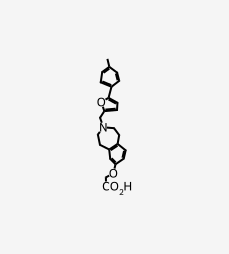 Cc1ccc(-c2ccc(CN3CCc4ccc(OCC(=O)O)cc4CC3)o2)cc1